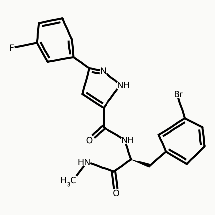 CNC(=O)[C@H](Cc1cccc(Br)c1)NC(=O)c1cc(-c2cccc(F)c2)n[nH]1